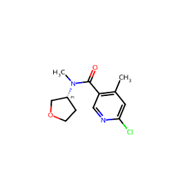 Cc1cc(Cl)ncc1C(=O)N(C)[C@@H]1CCOC1